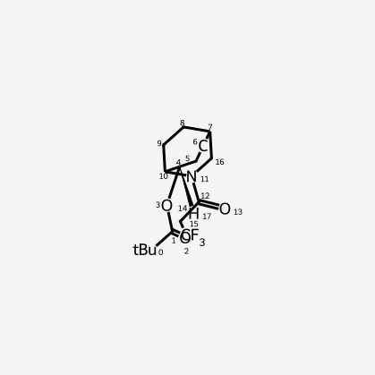 CC(C)(C)C(=O)O[C@H]1CCC2CCC1N(C(=O)CC(F)(F)F)C2